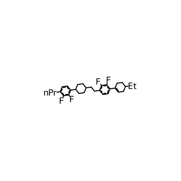 CCCc1ccc(C2CCC(CCc3ccc(C4=CCC(CC)CC4)c(F)c3F)CC2)c(F)c1F